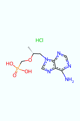 C[C@H](Cn1cnc2c(N)ncnc21)OCP(=O)(O)O.Cl